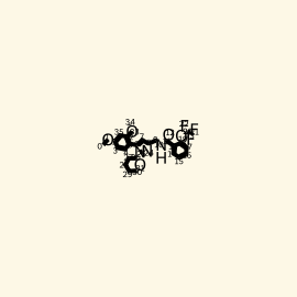 COc1ccc(-c2cc(CNC(=O)c3ccccc3OC(F)(F)F)nn2C2CCCCO2)c(OC)c1